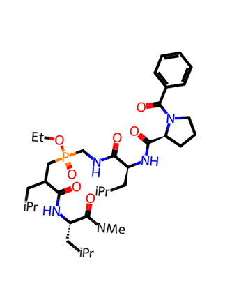 CCOP(=O)(CNC(=O)[C@H](CC(C)C)NC(=O)[C@@H]1CCCN1C(=O)c1ccccc1)CC(CC(C)C)C(=O)N[C@@H](CC(C)C)C(=O)NC